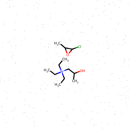 CC1OC1Cl.CC[N+](CC)(CC)CC(C)O